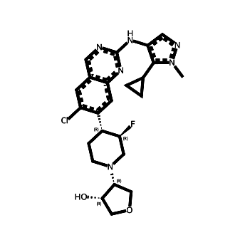 Cn1ncc(Nc2ncc3cc(Cl)c([C@H]4CCN([C@@H]5COC[C@@H]5O)C[C@@H]4F)cc3n2)c1C1CC1